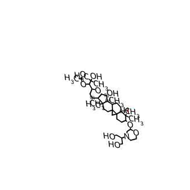 CC(=O)OC(C1C[C@@H](C)C2C(O1)[C@H](O)[C@@]1(C)C3CC[C@H]4C(C)(C)C(OC5CN(C(CO)CO)CCO5)CCC45CC35CCC21C)C(C)(C)O